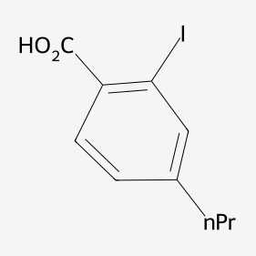 CCCc1ccc(C(=O)O)c(I)c1